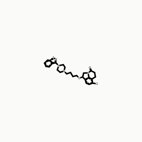 O=C1CCc2c(Cl)ccc3c2N1CC3OCCCCN1CCN(c2nsc3ccccc23)CC1